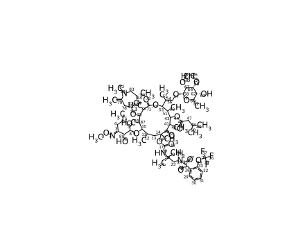 CON=C1C[C@@H](C)O[C@@H](OC2C(C)CC(C)(OC(=O)NC(C)(C)CNS(=O)(=O)c3ccccc3OC(F)(F)F)C(=O)C(C)C(OC(=O)CC(C)C)C(C)C(C(C)CO[C@@H]3O[C@H](C)[C@@H](O)[C@@H](OC)[C@H]3OC)OC(=O)C(C)C(O[C@H]3CC(C)N(C)C[C@H](C)O3)C2C)[C@@H]1O